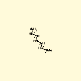 CNNNNNNN